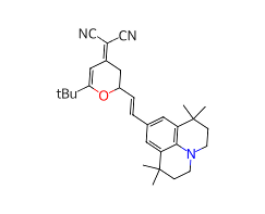 CC(C)(C)C1=CC(=C(C#N)C#N)CC(/C=C/c2cc3c4c(c2)C(C)(C)CCN4CCC3(C)C)O1